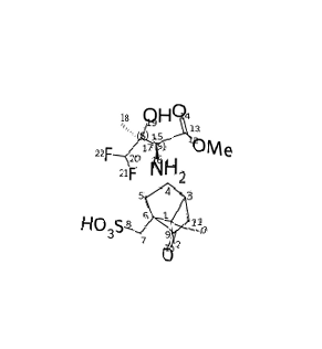 CC1(C)C2CCC1(CS(=O)(=O)O)C(=O)C2.COC(=O)[C@@H](N)[C@](C)(O)C(F)F